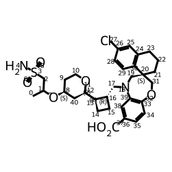 CC(CS(N)(=O)=O)O[C@H]1CCO[C@@H]([C@@H]2CC[C@H]2CN2C[C@@]3(CCCc4cc(Cl)ccc43)COc3ccc(C(=O)O)cc32)C1